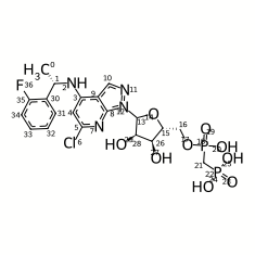 C[C@H](Nc1cc(Cl)nc2c1cnn2C1O[C@H](COP(=O)(O)CP(=O)(O)O)[C@@H](O)[C@H]1O)c1ccccc1F